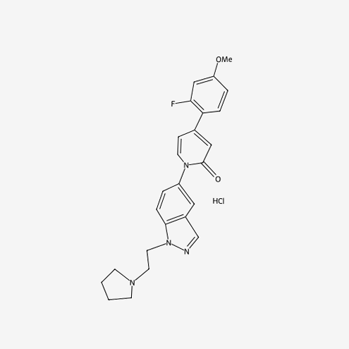 COc1ccc(-c2ccn(-c3ccc4c(cnn4CCN4CCCC4)c3)c(=O)c2)c(F)c1.Cl